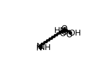 O=C(O)CCCS(=O)(=O)NC(=O)CCCCCCCCCCCCCCCc1nnc[nH]1